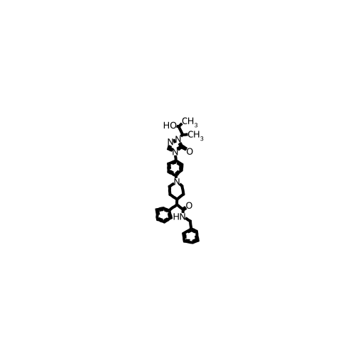 CC(O)C(C)n1ncn(-c2ccc(N3CCC(C(C(=O)NCc4ccccc4)c4ccccc4)CC3)cc2)c1=O